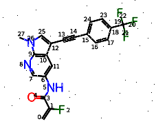 C=C(F)C(=O)Nc1cnc2c(c1)c(C#Cc1ccc(C(F)(F)F)cc1)cn2C